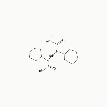 CCCC(=O)[N]([Nd+][N](C(=O)CCC)C1CCCCC1)C1CCCCC1.[I-]